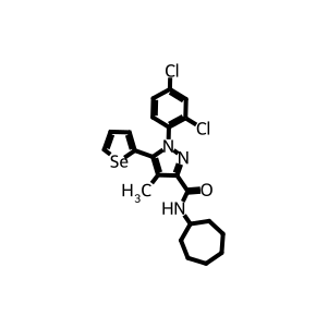 Cc1c(C(=O)NC2CCCCCC2)nn(-c2ccc(Cl)cc2Cl)c1-c1ccc[se]1